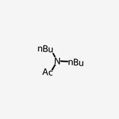 [CH2]C(=O)N(CCCC)CCCC